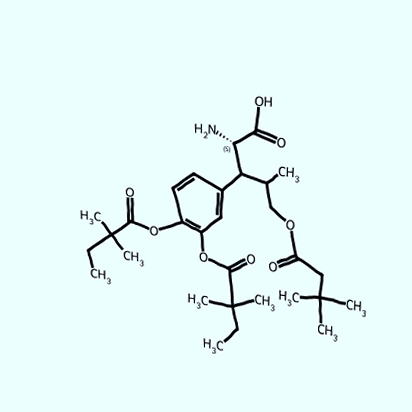 CCC(C)(C)C(=O)Oc1ccc(C(C(C)COC(=O)CC(C)(C)C)[C@H](N)C(=O)O)cc1OC(=O)C(C)(C)CC